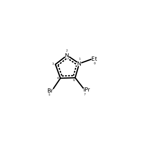 CCn1n[c]c(Br)c1C(C)C